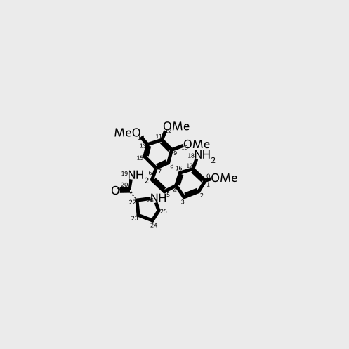 COc1ccc(/C=C\c2cc(OC)c(OC)c(OC)c2)cc1N.NC(=O)[C@H]1CCCN1